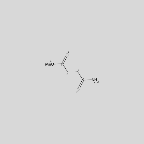 COC(=O)CCC(N)=S